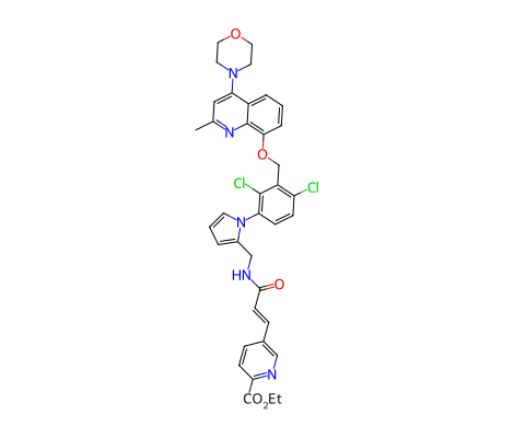 CCOC(=O)c1ccc(/C=C/C(=O)NCc2cccn2-c2ccc(Cl)c(COc3cccc4c(N5CCOCC5)cc(C)nc34)c2Cl)cn1